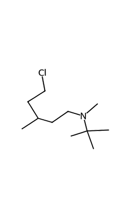 CC(CCCl)CCN(C)C(C)(C)C